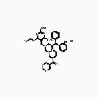 COc1nc(OC)c(CN2CC3CN(C(=O)C4COCOC4)CCN3C(C(c3ccccc3)c3ccccc3)C2)c(OCC(F)(F)F)n1.Cl.Cl